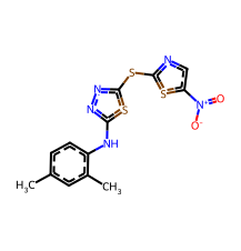 Cc1ccc(Nc2nnc(Sc3ncc([N+](=O)[O-])s3)s2)c(C)c1